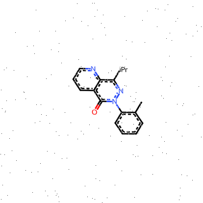 Cc1ccccc1-n1nc(C(C)C)c2ncccc2c1=O